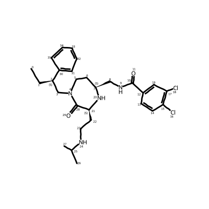 CC[C@H](CN1CC[C@@H](CNC(=O)c2ccc(Cl)c(Cl)c2)N[C@@H](CCNC(C)C)C1=O)c1ccccc1